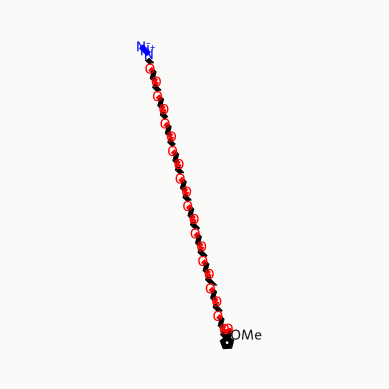 COC(=O)C1(COCCOCCOCCOCCOCCOCCOCCOCCOCCOCCOCCOCCOCCOCCOCCOCCOCCOCCOCCOCCN=[N+]=[N-])CCCC1